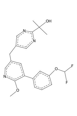 COc1ncc(Cc2cnc(C(C)(C)O)nc2)cc1-c1cccc(OC(F)F)c1